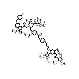 Cc1n[nH]c(Nc2ncnc3cc(OCCCN4CCN(CC(=O)N5CCN(CC6CN(C(=O)OC(C)(C)C)[C@@H](C)CN6CC(=O)N6CC(C)(C)c7ncc(Cc8ccc(F)cc8)cc76)[C@H](C)C5)CC4)c(S(=O)(=O)C(C)(C)C)cc23)c1C